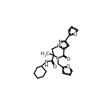 CC1(C(=O)NC2CCCCC2)Cn2nc(-c3ccco3)cc2C(=O)N1Cc1ccco1